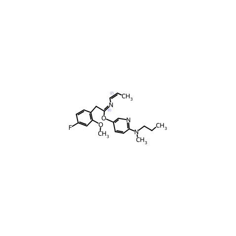 C/C=C\N=C(/Cc1ccc(F)cc1OC)Oc1ccc(N(C)CCC)nc1